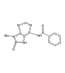 CC(C)(C)n1c(=O)[nH]c2c(NC(=O)c3ccccc3)ncnc21